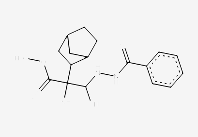 C=C(OC)C(C)(C(C)NNC(=O)c1ccccc1)C1CC2CCC1C2